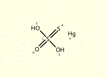 O=S(O)(O)=S.[Hg]